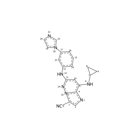 N#Cc1cnc2c(NC3CC3)cc(Nc3cccc(-n4ccnc4)c3)nn12